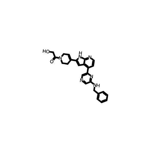 O=C(CO)N1CC=C(c2cc3c(-c4cncc(NCc5ccccc5)n4)ccnc3[nH]2)CC1